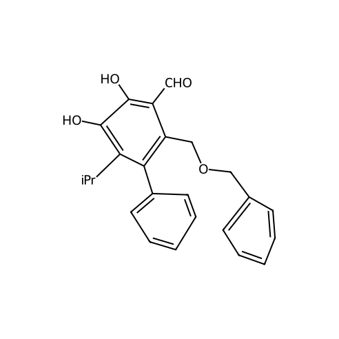 CC(C)c1c(O)c(O)c(C=O)c(COCc2ccccc2)c1-c1ccccc1